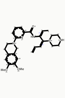 C=C/C=C(\C(=C/C)NC(=O)c1cccc(N2CCc3cc(OC)c(OC)cc3C2)n1)N1CCNCC1